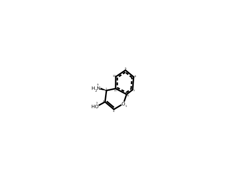 N[C@@H]1C(O)=COc2ccccc21